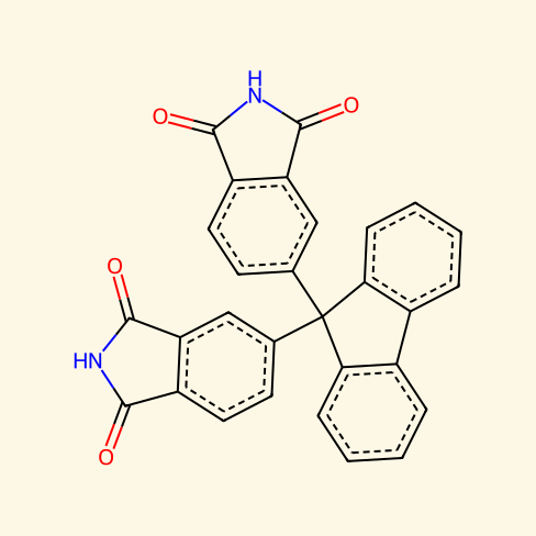 O=C1NC(=O)c2cc(C3(c4ccc5c(c4)C(=O)NC5=O)c4ccccc4-c4ccccc43)ccc21